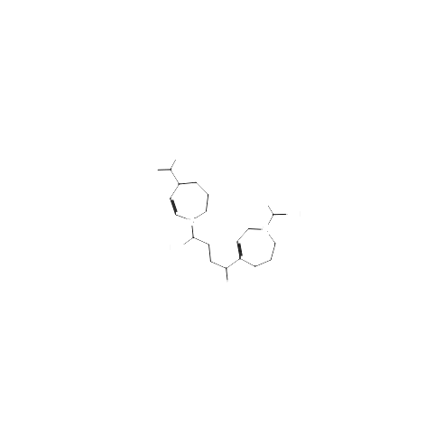 CC(CCC(C)N1C=CC(C(C)C)CCC1)C1=CCN(C(C)C)CCC1